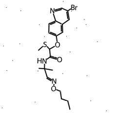 CCCCON=CC(C)(C)NC(=O)C(Oc1ccc2ncc(Br)cc2c1)SC